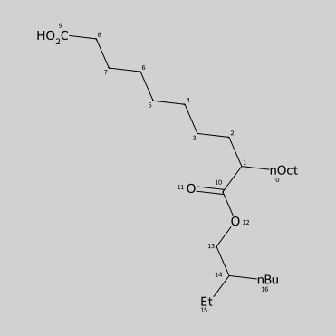 CCCCCCCCC(CCCCCCCC(=O)O)C(=O)OCC(CC)CCCC